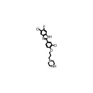 Fc1cc2[nH]c(-c3ccc(OCCCN4CCNCC4)c(Cl)c3)nc2cc1Cl